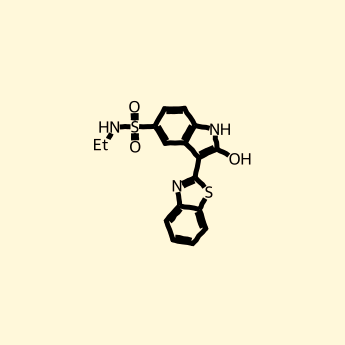 CCNS(=O)(=O)c1ccc2[nH]c(O)c(-c3nc4ccccc4s3)c2c1